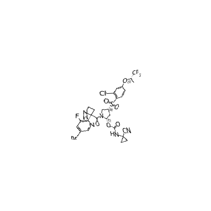 C[C@H](Oc1ccc(S(=O)(=O)[C@@H]2C[C@H](OC(=O)NC3(C#N)CC3)N(C(=O)C3(c4ncc(Br)cc4F)CCN3)C2)c(Cl)c1)C(F)(F)F